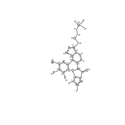 Cc1c2c(nn1C)C(=O)N1c3ccc4c(ncn4COCC[Si](C)(C)C)c3-c3cc(Br)c(F)c(F)c3C21